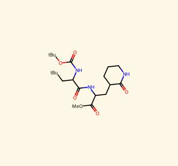 COC(=O)C(CC1CCCNC1=O)NC(=O)C(CC(C)(C)C)NC(=O)OC(C)(C)C